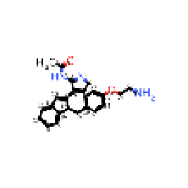 CC(=O)NC1=NCC=C1C1=Cc2ccccc2C1Cc1ccc(OCCN)cc1